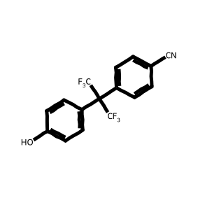 N#Cc1ccc(C(c2ccc(O)cc2)(C(F)(F)F)C(F)(F)F)cc1